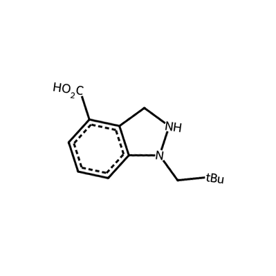 CC(C)(C)CN1NCc2c(C(=O)O)cccc21